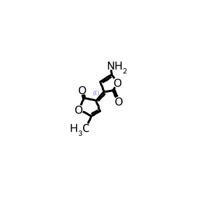 CC1=C/C(=C2/C=C(N)OC2=O)C(=O)O1